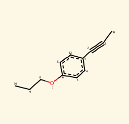 CC#Cc1ccc(OCCC)cc1